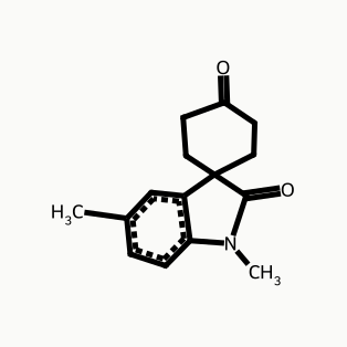 Cc1ccc2c(c1)C1(CCC(=O)CC1)C(=O)N2C